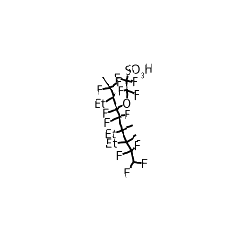 CCC(C)(C(F)(F)C(F)F)C(C)(CC)C(F)(F)C(F)(OC(F)(F)C(F)(F)S(=O)(=O)O)C(C)(CC)C(C)(F)F